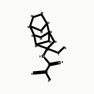 C=C(C)C(=O)OC1(CC)CC23CC(C4CCC2C4)C1C3